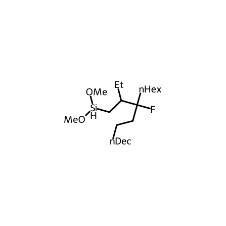 CCCCCCCCCCCCC(F)(CCCCCC)C(CC)C[SiH](OC)OC